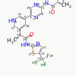 C=CC(=O)Nc1cnc(C2=CNCC(C(C)C(=O)Nc3ncc(C(F)(F)F)s3)=C2)cn1